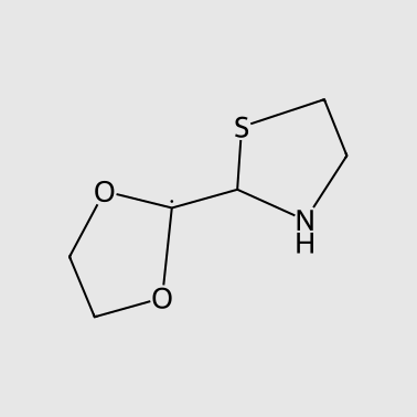 C1CSC([C]2OCCO2)N1